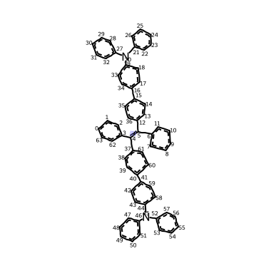 c1ccc(/C(=C(/c2ccccc2)c2ccc(-c3ccc(N(c4ccccc4)c4ccccc4)cc3)cc2)c2ccc(-c3ccc(N(c4ccccc4)c4ccccc4)cc3)cc2)cc1